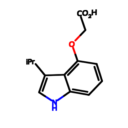 CC(C)c1c[nH]c2cccc(OCC(=O)O)c12